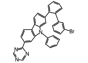 Brc1cccc(-c2ccccc2-c2ccc3c4ccc(-c5ncncn5)cc4n(-c4ccccc4)c3c2)c1